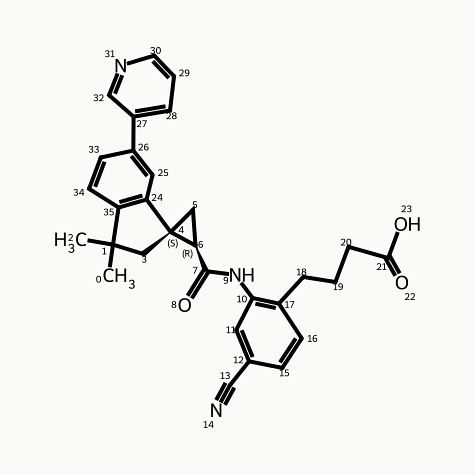 CC1(C)C[C@]2(C[C@H]2C(=O)Nc2cc(C#N)ccc2CCCC(=O)O)c2cc(-c3cccnc3)ccc21